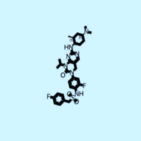 CC(C)N1C(=O)N(c2ccc(NS(=O)(=O)Cc3ccc(F)cc3)c(F)c2)Cc2cnc(N[C@@H]3CC[C@@H](N(C)C)C[C@@H]3C)nc21